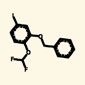 FC(F)Oc1ccc(I)cc1OCc1ccccc1